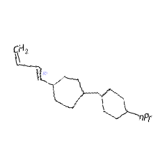 C=C/C=C/C1CCC(C2CCC(CCC)CC2)CC1